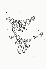 CCOc1ncccc1[C@]1(NC(=O)N2CCN(C3CCN(C4COC4)CC3)CC2)C(=O)N(S(=O)(=O)c2ccc(C#N)cc2)c2ccc(C#N)cc21.CCOc1ncccc1[C@]1(NC(=O)N2CCN(C3CCN(C4COC4)CC3)CC2)C(=O)N(S(=O)(=O)c2ccc(OC)cc2F)c2ccc(C#N)cc21